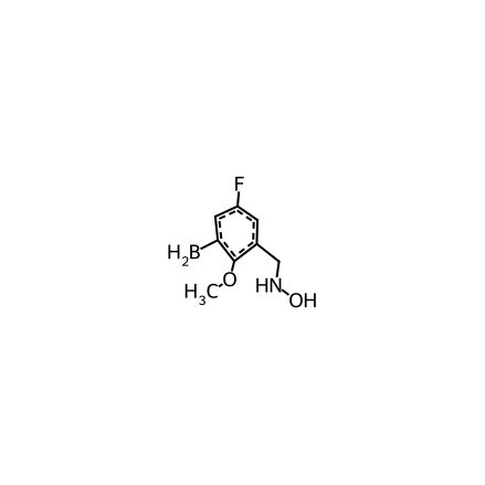 Bc1cc(F)cc(CNO)c1OC